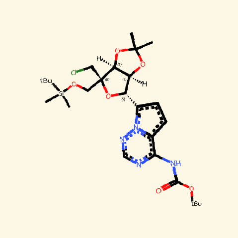 CC(C)(C)OC(=O)Nc1ncnn2c([C@@H]3O[C@](CCl)(CO[Si](C)(C)C(C)(C)C)[C@H]4OC(C)(C)O[C@@H]34)ccc12